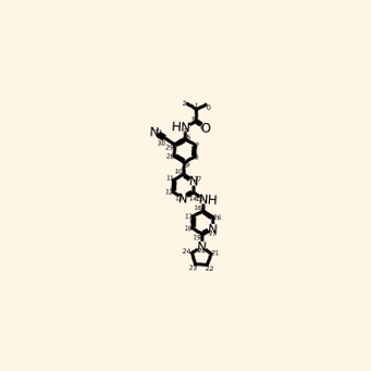 CC(C)C(=O)Nc1ccc(-c2ccnc(Nc3ccc(N4CCCC4)nc3)n2)cc1C#N